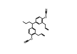 C=CCc1cc(C(CCC)c2ccc(OC#N)c(CC=C)c2)ccc1OC#N